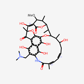 COC1/C2=C(\O)C3(C)Oc4c5c(O)c6c(O)c(c(CN(C)C)c(O)c6c4C3=O)NC(=O)/C(C)=C\C=C/CC(O)C(C)C(O5)C(C)C(OC2=O)C1C